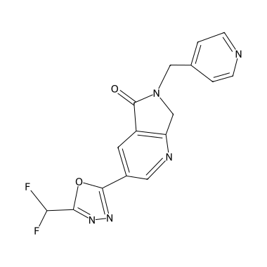 O=C1c2cc(-c3nnc(C(F)F)o3)cnc2CN1Cc1ccncc1